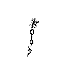 CNC(=O)C(C)(C(=O)NO)N(C)C(=O)c1ccc(C#Cc2ccc(COC3CN(CCF)C3)cc2)cc1